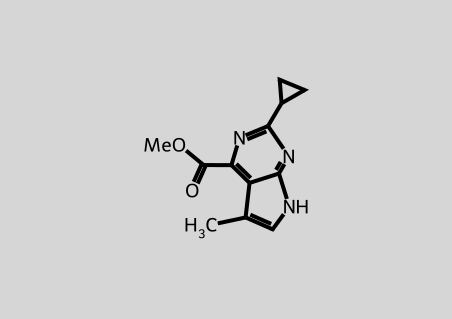 COC(=O)c1nc(C2CC2)nc2[nH]cc(C)c12